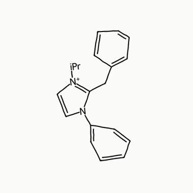 CC(C)[n+]1ccn(-c2ccccc2)c1Cc1ccccc1